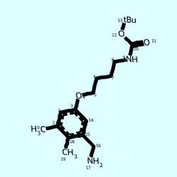 Cc1cc(OCCCCNC(=O)OC(C)(C)C)cc(CN)c1C